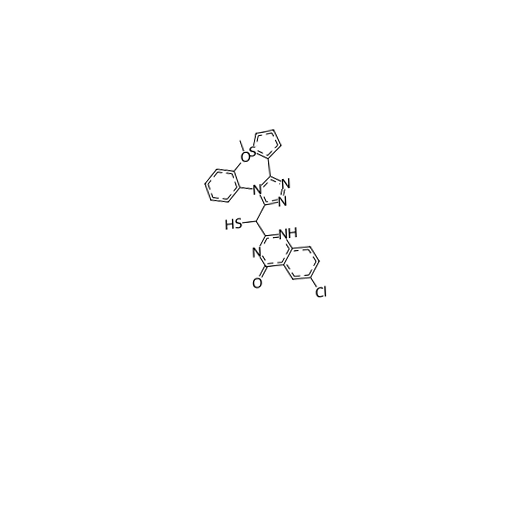 COc1ccccc1-n1c(-c2cccs2)nnc1C(S)c1nc(=O)c2cc(Cl)ccc2[nH]1